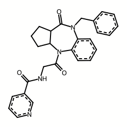 O=C(NCC(=O)N1c2ccccc2N(Cc2ccccc2)C(=O)C2CCCC21)c1cccnc1